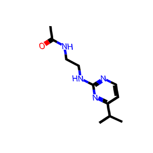 CC(=O)NCCNc1nccc(C(C)C)n1